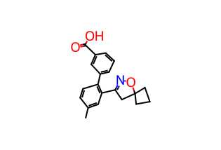 Cc1ccc(-c2cccc(C(=O)O)c2)c(C2=NOC3(CCC3)C2)c1